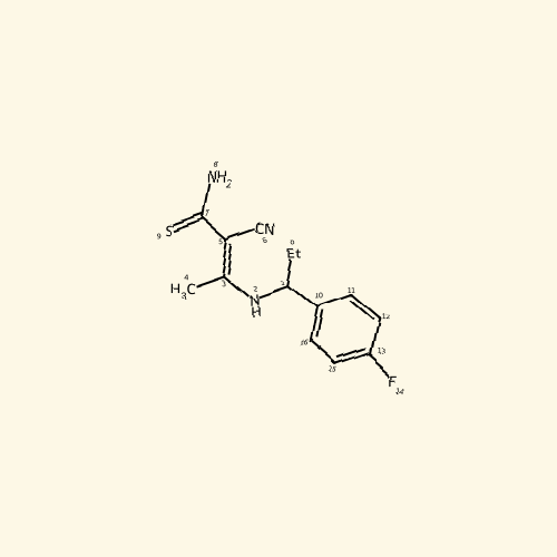 CCC(NC(C)=C(C#N)C(N)=S)c1ccc(F)cc1